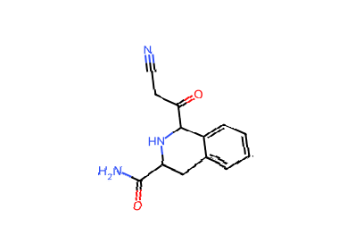 N#CCC(=O)C1NC(C(N)=O)Cc2c[c]ccc21